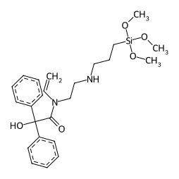 C=CN(CCNCCC[Si](OC)(OC)OC)C(=O)C(O)(c1ccccc1)c1ccccc1